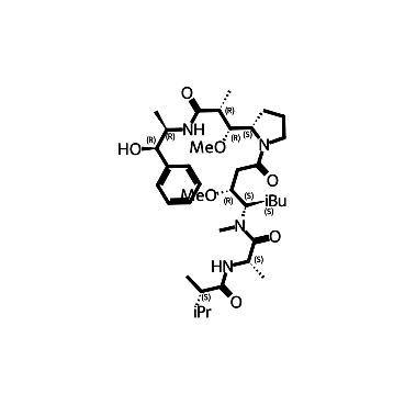 CC[C@H](C)[C@@H]([C@@H](CC(=O)N1CCC[C@H]1[C@H](OC)[C@@H](C)C(=O)N[C@H](C)[C@H](O)c1ccccc1)OC)N(C)C(=O)[C@H](C)NC(=O)[C@@H](C)C(C)C